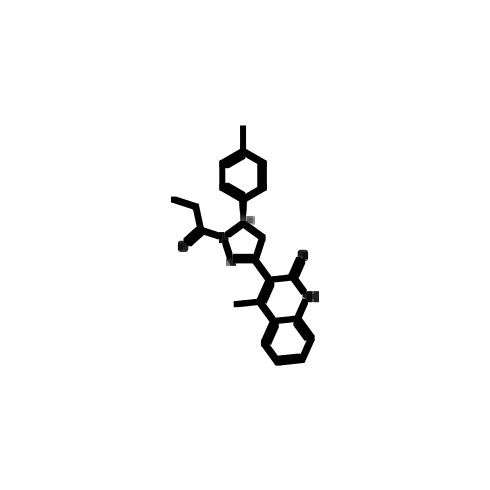 CCC(=O)N1N=C(c2c(C)c3ccccc3[nH]c2=O)C[C@@H]1c1ccc(C)cc1